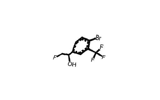 OC(CF)c1ccc(Br)c(C(F)(F)F)c1